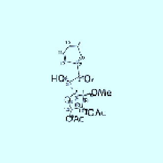 CO[C@@H]1[C@@H](C(O)C(=O)c2ccccc2)OC(OC(C)=O)[C@@H]1OC(C)=O